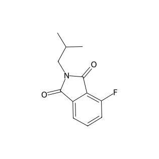 CC(C)CN1C(=O)c2cccc(F)c2C1=O